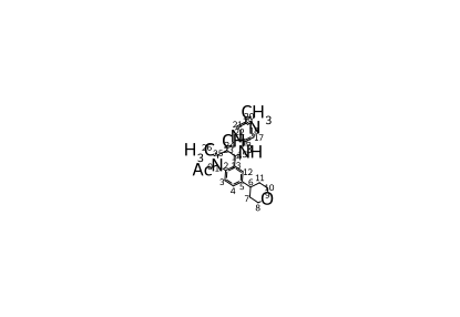 CC(=O)N1c2ccc(C3CCOCC3)cc2[C@H](Nc2cnc(C)cn2)[C@@H](C)[C@@H]1C